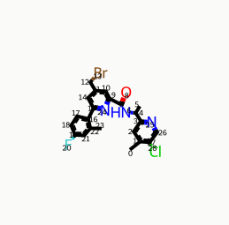 Cc1cc(C(C)NC(=O)c2cc(CBr)cc(-c3ccc(F)cc3C)n2)ncc1Cl